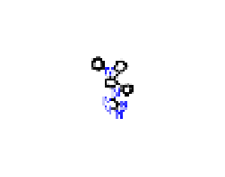 Cn1cnc2c(-n3c4ccccc4c4c5c6ccccc6n(-c6ccccc6)c5ccc43)ncnc21